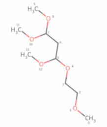 COCCOC(CC(OC)OC)OC